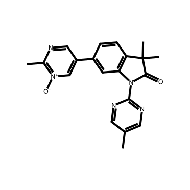 Cc1cnc(N2C(=O)C(C)(C)c3ccc(-c4cnc(C)[n+]([O-])c4)cc32)nc1